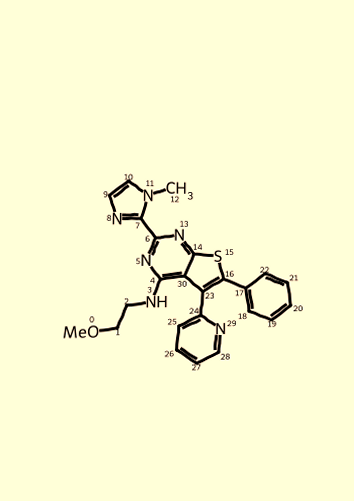 COCCNc1nc(-c2nccn2C)nc2sc(-c3ccccc3)c(-c3ccccn3)c12